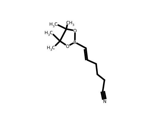 CC1(C)OB(C=CCCCC#N)OC1(C)C